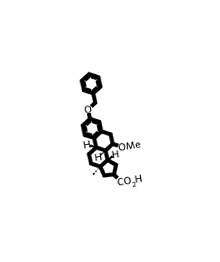 COC1Cc2cc(OCc3ccccc3)ccc2[C@H]2CC[C@]3(C)CC(C(=O)O)C[C@H]3[C@H]12